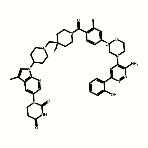 Cc1cc([C@@H]2CN(c3cc(-c4ccccc4O)nnc3N)CCO2)ccc1C(=O)N1CCC(F)(CN2CCC(n3cc(C)c4cc(N5CCC(=O)NC5=O)cnc43)CC2)CC1